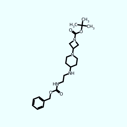 CC(C)(C)OC(=O)N1CC(N2CCC(NCCNC(=O)OCc3ccccc3)CC2)C1